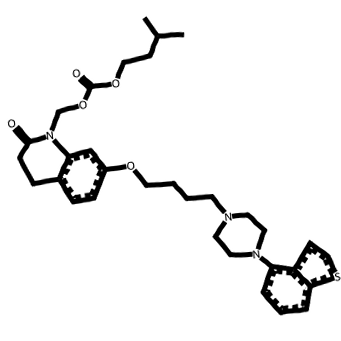 CC(C)CCOC(=O)OCN1C(=O)CCc2ccc(OCCCCN3CCN(c4cccc5sccc45)CC3)cc21